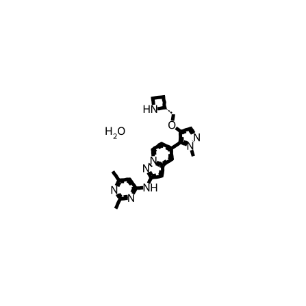 Cc1cc(Nc2cc3cc(-c4c(OC[C@H]5CCN5)cnn4C)ccn3n2)nc(C)n1.O